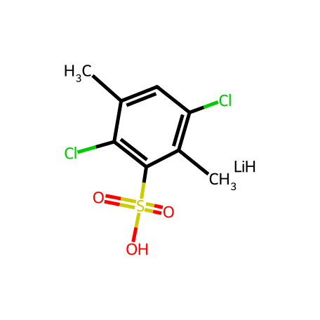 Cc1cc(Cl)c(C)c(S(=O)(=O)O)c1Cl.[LiH]